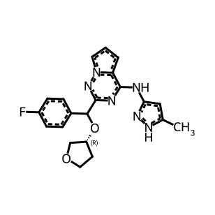 Cc1cc(Nc2nc(C(O[C@@H]3CCOC3)c3ccc(F)cc3)nn3cccc23)n[nH]1